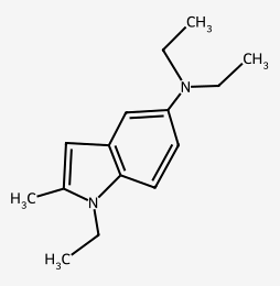 CCN(CC)c1ccc2c(c1)cc(C)n2CC